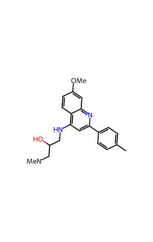 CNCC(O)CNc1cc(-c2ccc(C)cc2)nc2cc(OC)ccc12